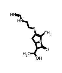 CC1=C(SCCNC=N)CC2C(C(C)O)C(=O)N12